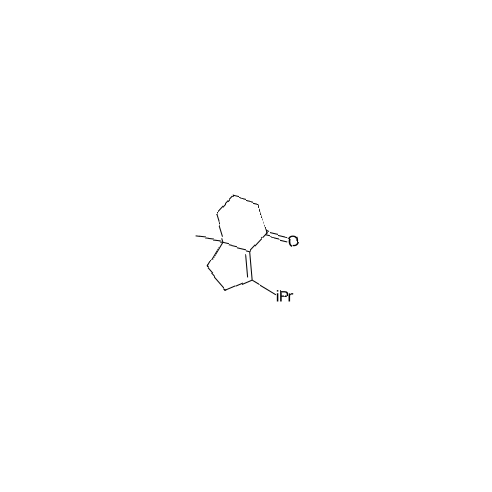 CC(C)C1=C2C(=O)CCCC2(C)CC1